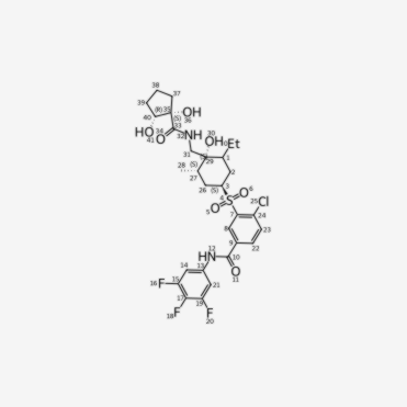 CCC1C[C@@H](S(=O)(=O)c2cc(C(=O)Nc3cc(F)c(F)c(F)c3)ccc2Cl)C[C@H](C)[C@@]1(O)CNC(=O)[C@]1(O)CCC[C@H]1O